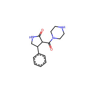 O=C1NCC(c2ccccc2)C1C(=O)N1CCNCC1